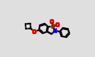 O=S1(=O)c2ccc(OC3CCC3)cc2CN1c1ccccc1